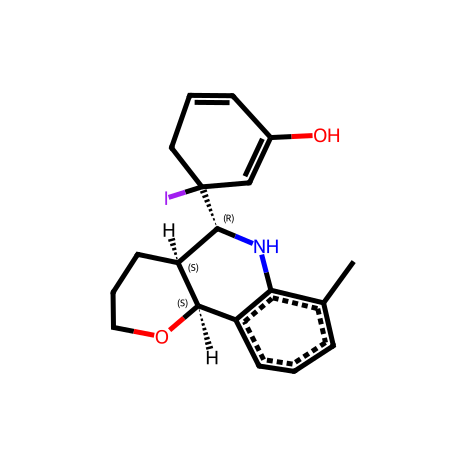 Cc1cccc2c1N[C@@H](C1(I)C=C(O)C=CC1)[C@@H]1CCCO[C@H]21